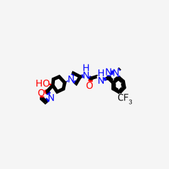 Cn1nc(NCC(=O)NC2CN([C@H]3CC[C@@](O)(c4ncco4)CC3)C2)c2cc(C(F)(F)F)ccc21